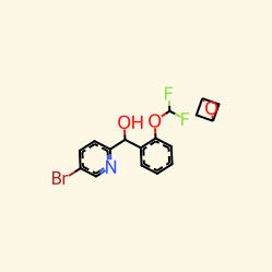 C1C2CC1O2.OC(c1ccc(Br)cn1)c1ccccc1OC(F)F